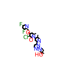 Cc1cnc(-c2ccnc(N3CCC(C)(O)C3)n2)cc1-n1c(C)cc(OCc2ncc(F)cc2F)c(Cl)c1=O